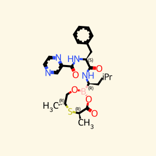 CC(C)C[C@H](NC(=O)[C@H](Cc1ccccc1)NC(=O)c1cnccn1)B1OC[C@@H](C)S[C@H](C)C(=O)O1